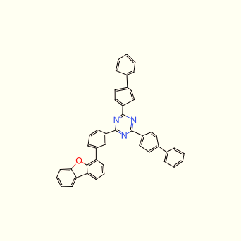 c1ccc(-c2ccc(-c3nc(-c4ccc(-c5ccccc5)cc4)nc(-c4cccc(-c5cccc6c5oc5ccccc56)c4)n3)cc2)cc1